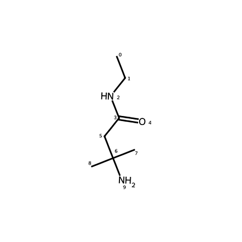 CCNC(=O)CC(C)(C)N